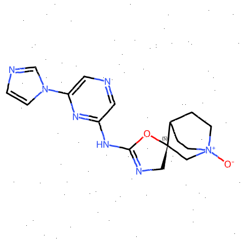 [O-][N+]12CCC(CC1)[C@]1(CN=C(Nc3cncc(-n4ccnc4)n3)O1)C2